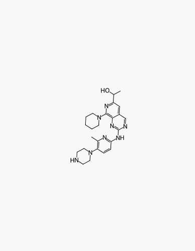 Cc1nc(Nc2ncc3cc(C(C)O)nc(N4CCCCC4)c3n2)ccc1N1CCNCC1